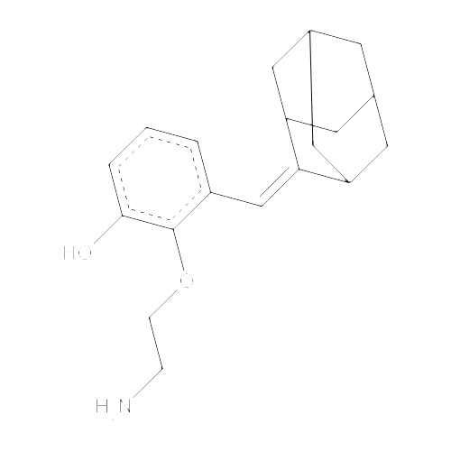 NCCOc1c(O)cccc1C=C1C2CC3CC(C2)CC1C3